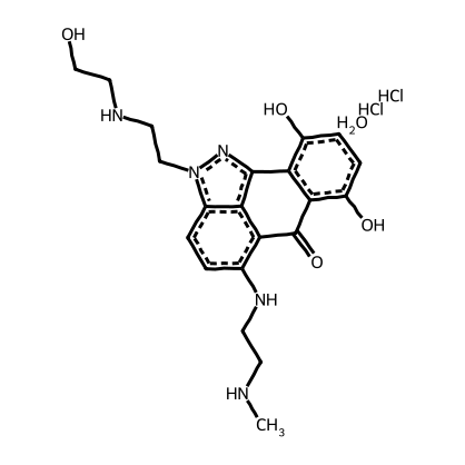 CNCCNc1ccc2c3c(nn2CCNCCO)-c2c(O)ccc(O)c2C(=O)c13.Cl.Cl.O